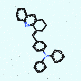 C(=C1CCCc2cc3ccccc3nc21)c1ccc(N(c2ccccc2)c2ccccc2)cc1